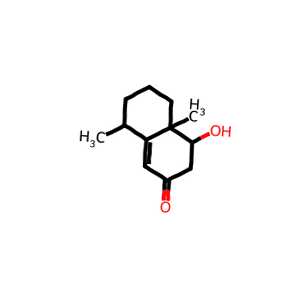 CC1CCCC2(C)C1=CC(=O)CC2O